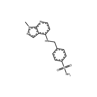 Cn1ncc2c(NCc3ccc(S(N)(=O)=O)cc3)ccnc21